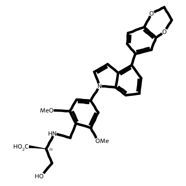 COc1cc(-n2ccc3c(-c4ccc5c(c4)OCCO5)cccc32)cc(OC)c1CN[C@@H](CO)C(=O)O